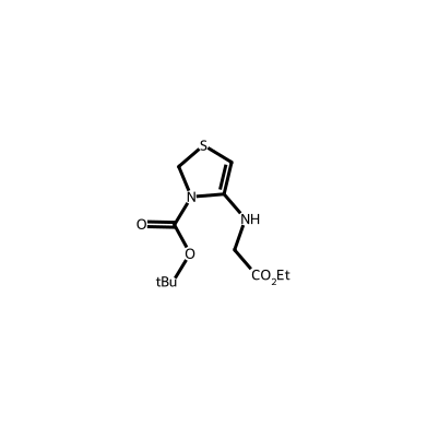 CCOC(=O)CNC1=CSCN1C(=O)OC(C)(C)C